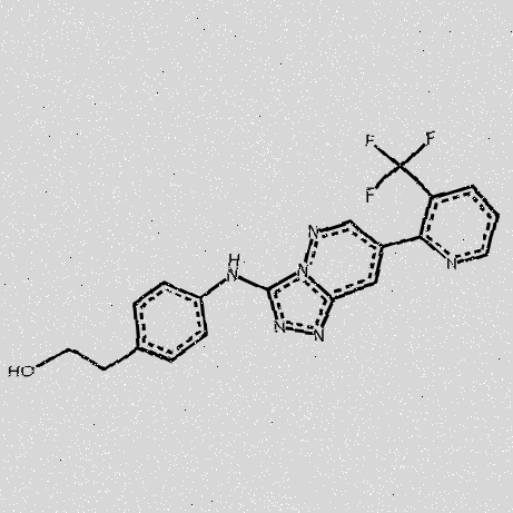 OCCc1ccc(Nc2nnc3cc(-c4ncccc4C(F)(F)F)cnn23)cc1